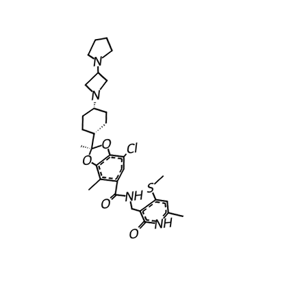 CSc1cc(C)[nH]c(=O)c1CNC(=O)c1cc(Cl)c2c(c1C)O[C@@](C)([C@H]1CC[C@@H](N3CC(N4CCCC4)C3)CC1)O2